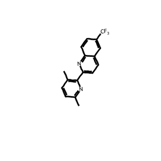 Cc1ccc(C)c(-c2ccc3cc(C(F)(F)F)ccc3n2)n1